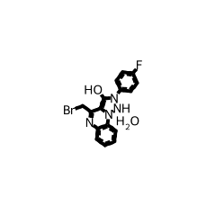 O.OC1=C2C(CBr)=Nc3ccccc3N2NN1c1ccc(F)cc1